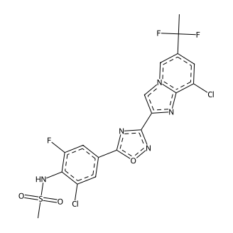 CC(F)(F)c1cc(Cl)c2nc(-c3noc(-c4cc(F)c(NS(C)(=O)=O)c(Cl)c4)n3)cn2c1